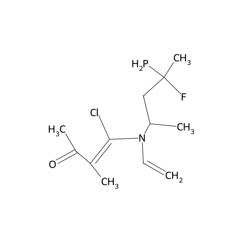 C=CN(/C(Cl)=C(\C)C(C)=O)C(C)CC(C)(F)P